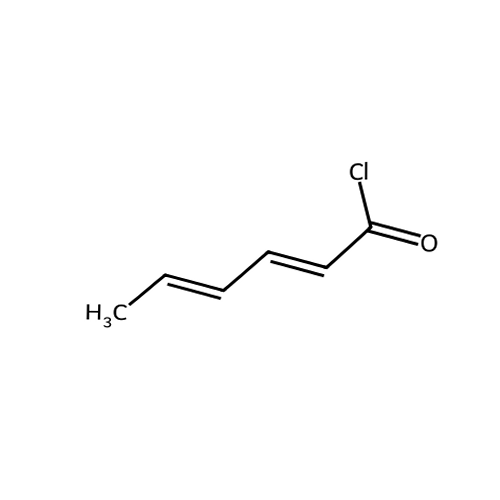 CC=C/C=C/C(=O)Cl